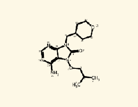 CC(C)COn1c(=O)n(CC2CCOCC2)c2ncnc(N)c21